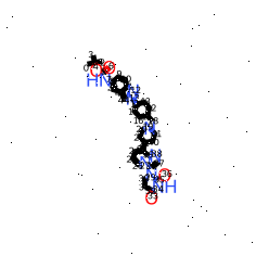 CC(C)(C)OC(=O)Nc1ccc2nn(C3CCC(CN4CCC(c5cccn6c(N7CCC(=O)NC7=O)cnc56)CC4)CC3)cc2c1